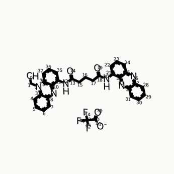 CC[n+]1c2ccccc2nc2c(NC(=O)CCCC(=O)Nc3cccc4nc5ccccc5nc34)cccc21.O=C([O-])C(F)(F)F